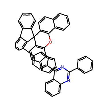 c1ccc(-c2nc(-c3ccc(-c4cccc5c4C4(c6ccccc6-5)c5ccc6ccccc6c5Oc5c4ccc4ccccc54)cc3)c3ccccc3n2)cc1